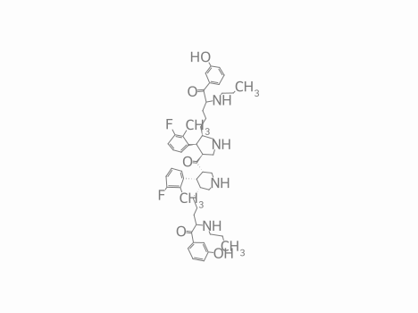 CCCNC(CCC[C@H]1CNC[C@@H](C(=O)[C@@H]2CNC[C@H](CCCC(NCCC)C(=O)c3cccc(O)c3)[C@@H]2c2cccc(F)c2C)[C@H]1c1cccc(F)c1C)C(=O)c1cccc(O)c1